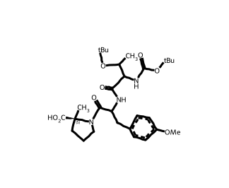 COc1ccc(CC(NC(=O)C(NC(=O)OC(C)(C)C)C(C)OC(C)(C)C)C(=O)N2CCC[C@@]2(C)C(=O)O)cc1